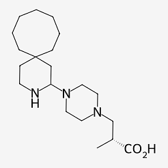 C[C@H](CN1CCN(C2CC3(CCCCCCC3)CCN2)CC1)C(=O)O